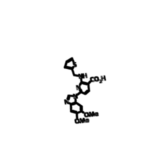 COc1cc2ncn(-c3ccc(C(=O)O)c(NCc4cccs4)n3)c2cc1OC